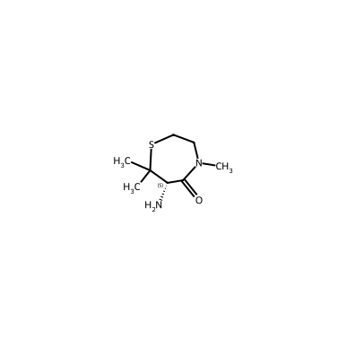 CN1CCSC(C)(C)[C@@H](N)C1=O